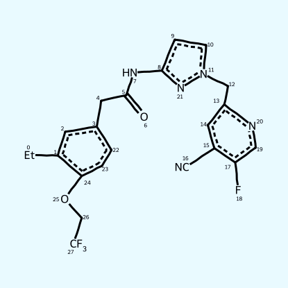 CCc1cc(CC(=O)Nc2ccn(Cc3cc(C#N)c(F)cn3)n2)ccc1OCC(F)(F)F